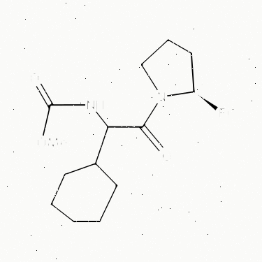 CC[C@@H]1CCCN1C(=O)C(NC(=O)OC)C1CCCCC1